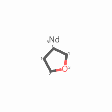 C1CCOC1.[Nd]